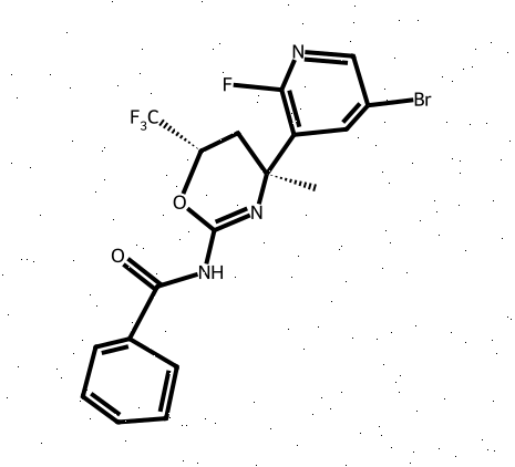 C[C@@]1(c2cc(Br)cnc2F)C[C@@H](C(F)(F)F)OC(NC(=O)c2ccccc2)=N1